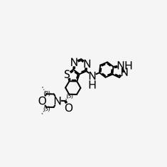 C[C@@H]1CN(C(=O)[C@H]2CCc3c(sc4ncnc(Nc5ccc6[nH]ncc6c5)c34)C2)C[C@H](C)O1